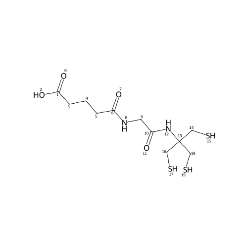 O=C(O)CCCC(=O)NCC(=O)NC(CS)(CS)CS